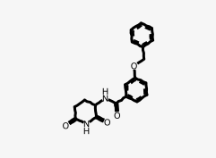 O=C1CCC(NC(=O)c2cccc(OCc3ccccc3)c2)C(=O)N1